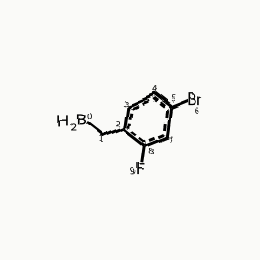 BCc1ccc(Br)cc1F